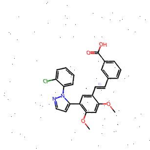 COc1cc(OC)c(-c2ccnn2-c2ccccc2Cl)cc1/C=C/c1cccc(C(=O)O)c1